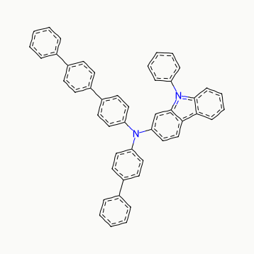 c1ccc(-c2ccc(-c3ccc(N(c4ccc(-c5ccccc5)cc4)c4ccc5c6ccccc6n(-c6ccccc6)c5c4)cc3)cc2)cc1